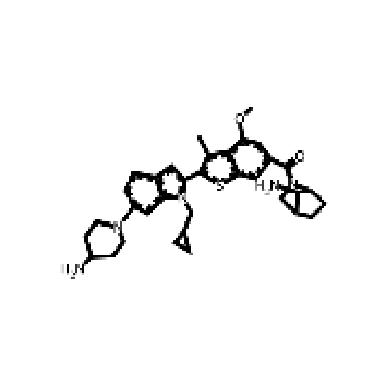 COc1cc(C(=O)N2CC3CCC2C3N)cc2sc(-c3cc4ccc(N5CCC(N)CC5)cc4n3CC3CC3)c(C)c12